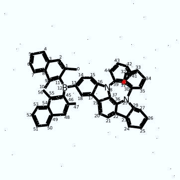 Cc1cc2ccccc2c(C)c1B(c1ccc2c(c1)c1ccc3c4ccccc4n(-c4ccccc4)c3c1n2-c1ccccc1)c1c(C)cc2ccccc2c1C